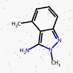 Cc1cccc2nn(C)c(N)c12